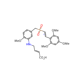 COc1cc(OC)c(/C=C/S(=O)(=O)Cc2ccc(OC)c(NCC=CC(=O)O)c2)c(OC)c1